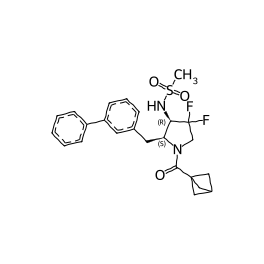 CS(=O)(=O)N[C@@H]1[C@H](Cc2cccc(-c3ccccc3)c2)N(C(=O)C23CC(C2)C3)CC1(F)F